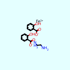 NCCN.O=C([O-])c1ccccc1O.O=C([O-])c1ccccc1O.[Fe+2]